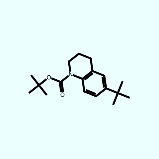 CC(C)(C)OC(=O)N1CCCc2cc(C(C)(C)C)ccc21